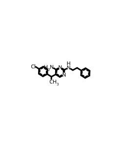 CC(c1ccc(Cl)cc1)c1cnc(NCCc2ccccc2)nc1N